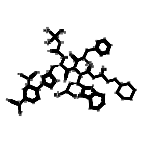 CC(C)C[C@@H](c1nc2ccccc2[nH]1)N(C(=O)C[C@@H](O)CCC1CCCCC1)N(C(=O)[C@H](Cc1cn(-c2ccc([N+](=O)[O-])cc2[N+](=O)[O-])cn1)NC(=O)OC(C)(C)C)C(=O)[C@@H](N)Cc1ccccc1